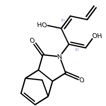 C=C/C=C(O)\C(=C/O)N1C(=O)C2C3C=CC(C3)C2C1=O